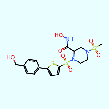 CS(=O)(=O)N1CCN(S(=O)(=O)c2ccc(-c3ccc(CO)cc3)s2)C(C(=O)NO)C1